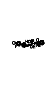 O=C(O)[C@H](CCn1nnc2ccccc2c1=O)[C@H](O)CCc1ccc(-c2ccc(Cl)c(F)c2)cc1